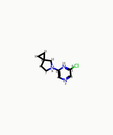 Clc1cncc(N2CCC3(CC3)C2)n1